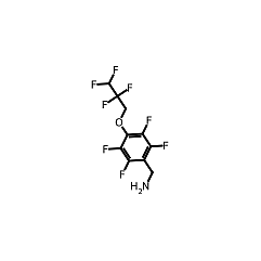 NCc1c(F)c(F)c(OCC(F)(F)C(F)F)c(F)c1F